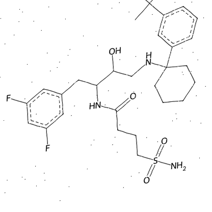 CC(C)(C)c1cccc(C2(NCC(O)C(Cc3cc(F)cc(F)c3)NC(=O)CCCS(N)(=O)=O)CCCCC2)c1